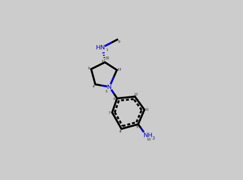 CN[C@H]1CCN(c2ccc(N)cc2)C1